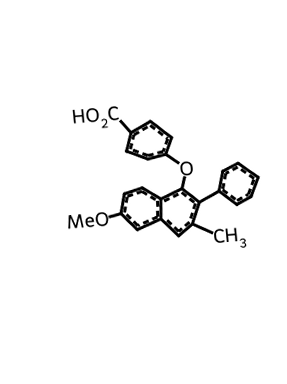 COc1ccc2c(Oc3ccc(C(=O)O)cc3)c(-c3ccccc3)c(C)cc2c1